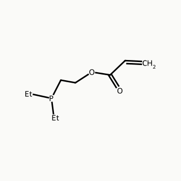 C=CC(=O)OCCP(CC)CC